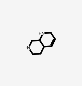 C1=CC2CC[N]CC2NC1